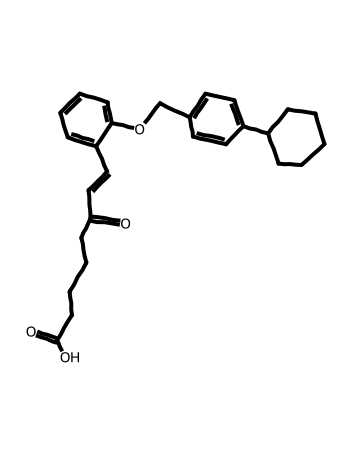 O=C(O)CCCCC(=O)C=Cc1ccccc1OCc1ccc(C2CCCCC2)cc1